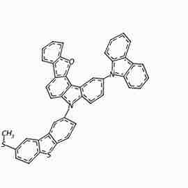 CSc1ccc2sc3ccc(-n4c5ccc(-n6c7ccccc7c7ccccc76)cc5c5c6oc7ccccc7c6ccc54)cc3c2c1